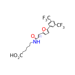 O=C(O)CCCCCNC(=O)/C=C/c1ccc(-c2cc(C(F)(F)F)cc(C(F)(F)F)c2)o1